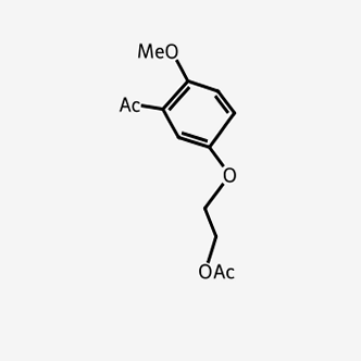 COc1ccc(OCCOC(C)=O)cc1C(C)=O